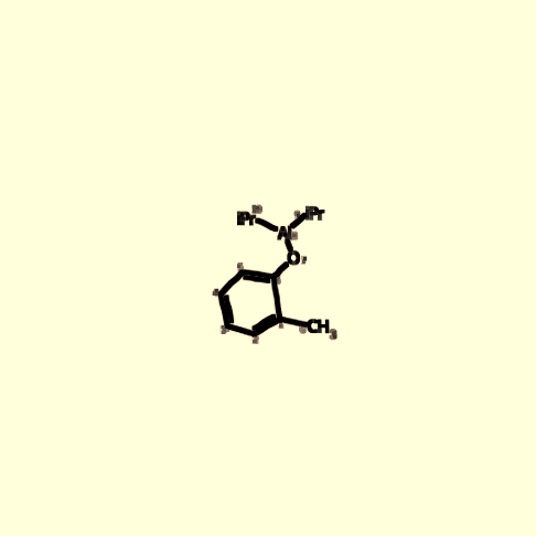 Cc1c[c]ccc1[O][Al]([CH](C)C)[CH](C)C